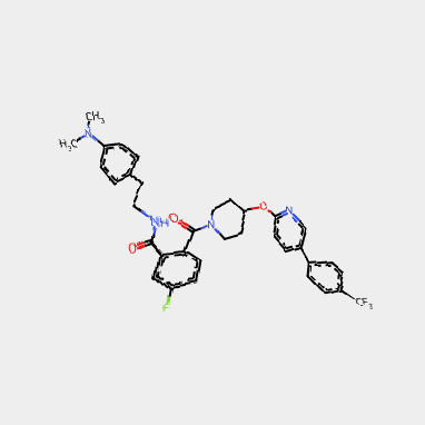 CN(C)c1ccc(CCNC(=O)c2cc(F)ccc2C(=O)N2CCC(Oc3ccc(-c4ccc(C(F)(F)F)cc4)cn3)CC2)cc1